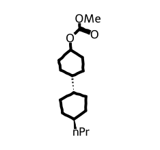 CCC[C@H]1CC[C@H](C2CCC(OC(=O)OC)CC2)CC1